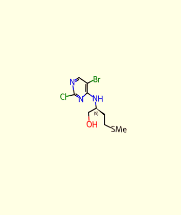 CSCC[C@@H](CO)Nc1nc(Cl)ncc1Br